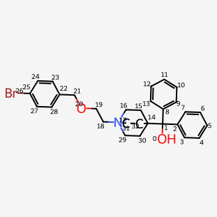 OC(c1ccccc1)(c1ccccc1)C12CC[N+](CCOCc3ccc(Br)cc3)(CC1)CC2